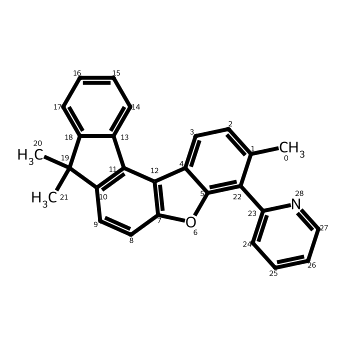 Cc1ccc2c(oc3ccc4c(c32)-c2ccccc2C4(C)C)c1-c1ccccn1